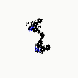 Cc1cc(-c2ccccc2)cc(C)c1-n1ccnc1-c1ccc(CCc2cccc(CCc3ccc(-c4nccn4-c4c(C)cc(-c5ccccc5)cc4C)cc3)c2)cc1